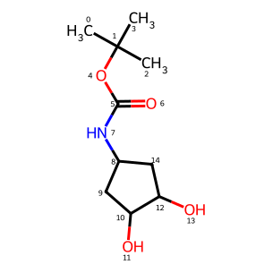 CC(C)(C)OC(=O)NC1CC(O)C(O)C1